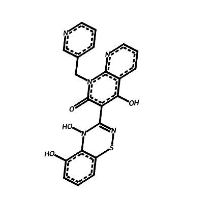 O=c1c(C2=NSc3cccc(O)c3N2O)c(O)c2cccnc2n1Cc1cccnc1